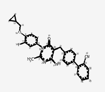 CCCc1nc(C)n(-c2ccc(OCC3CC3)c(F)c2)c(=O)c1Cc1ccc(-c2ccccc2C#N)cc1